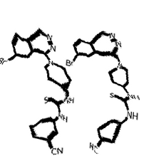 N#Cc1ccc(NC(=S)NC2CCN(c3nncc4ccc(Br)cc34)CC2)cc1.N#Cc1cccc(NC(=S)NC2CCN(c3nncc4ccc(Br)cc34)CC2)c1